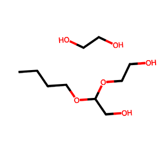 CCCCOC(CO)OCCO.OCCO